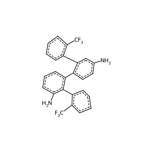 Nc1ccc(-c2cccc(N)c2-c2ccccc2C(F)(F)F)c(-c2ccccc2C(F)(F)F)c1